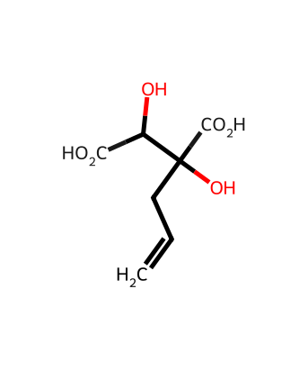 C=CCC(O)(C(=O)O)C(O)C(=O)O